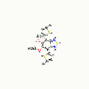 CCCCCCCCOc1c(OCCCCCCCC)c(-c2ccc(C)s2)c2nsnc2c1-c1ccc(C)s1